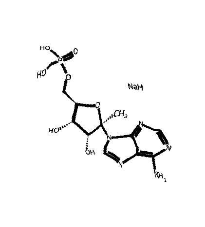 C[C@@]1(n2cnc3c(N)ncnc32)O[C@H](COP(=O)(O)O)[C@@H](O)[C@H]1O.[NaH]